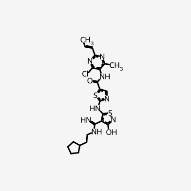 C/C=C/c1nc(C)c(NC(=O)c2cnc(Nc3snc(O)c3C(=N)NCCC3CCCC3)s2)c(Cl)n1